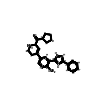 Nc1ncc(C2=CC(C(=O)C3CCCC3)NCC2)nc1-c1nnc(-c2ccccc2)o1